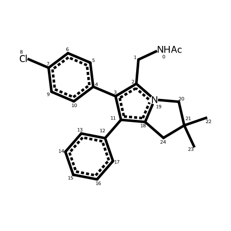 CC(=O)NCc1c(-c2ccc(Cl)cc2)c(-c2ccccc2)c2n1CC(C)(C)C2